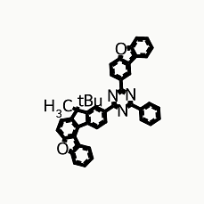 CC(C)(C)C1(C)c2cc(-c3nc(-c4ccccc4)nc(-c4ccc5oc6ccccc6c5c4)n3)ccc2-c2c1ccc1oc3ccccc3c21